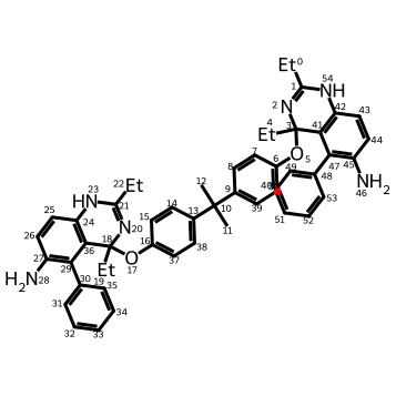 CCC1=NC(CC)(Oc2ccc(C(C)(C)c3ccc(OC4(CC)N=C(CC)Nc5ccc(N)c(-c6ccccc6)c54)cc3)cc2)c2c(ccc(N)c2-c2ccccc2)N1